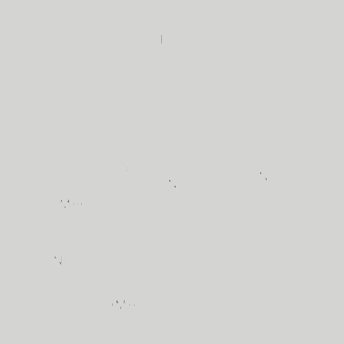 COc1c(C#N)c(OC)c2ccccc2c1C(=O)NCC1(c2ccc(F)cc2)CCN(C)CC1